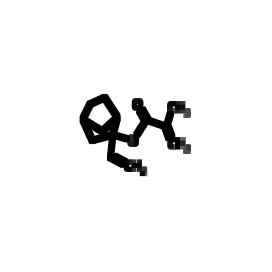 C=CC1(OC(=O)C(=C)C)CC2CCC1C2